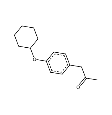 CC(=O)Cc1ccc(OC2CCCCC2)cc1